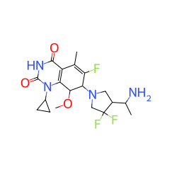 COC1c2c(c(=O)[nH]c(=O)n2C2CC2)C(C)=C(F)C1N1CC(C(C)N)C(F)(F)C1